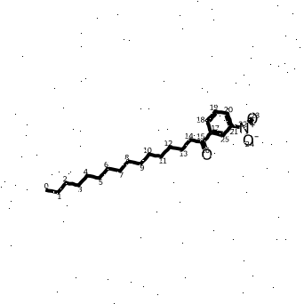 CCCCCCCCCCCCCCCC(=O)c1[c]ccc([N+](=O)[O-])c1